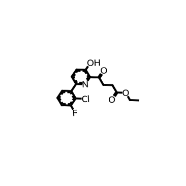 CCOC(=O)CCC(=O)c1nc(-c2cccc(F)c2Cl)ccc1O